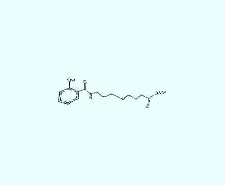 COC(=O)CCCCCCCNC(=O)c1ccccc1O